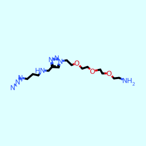 [N-]=[N+]=NCCCNCc1cn(CCOCCOCCOCCN)nn1